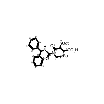 CCCCCCCCC(CC(=O)O)C(=O)N(CC(C)(C)C)C(=O)NC(c1ccccc1)c1ccccc1